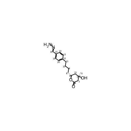 C[C@]1(O)CC(=O)O[C@H](CCCCc2ccc(C=NN)cc2)C1